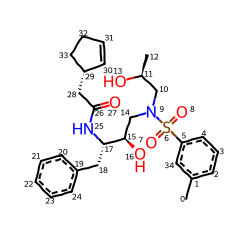 Cc1cccc(S(=O)(=O)N(C[C@H](C)O)C[C@@H](O)[C@H](Cc2ccccc2)NC(=O)C[C@H]2C=CCC2)c1